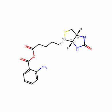 Nc1ccccc1C(=O)OC(=O)CCCC[C@@H]1SC[C@@H]2NC(=O)N[C@@H]21